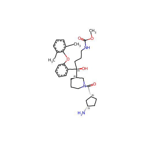 COC(=O)NCCC[C@@](O)(c1ccccc1Oc1c(C)cccc1C)[C@@H]1CCCN(C(=O)[C@@H]2CC[C@H](N)C2)C1